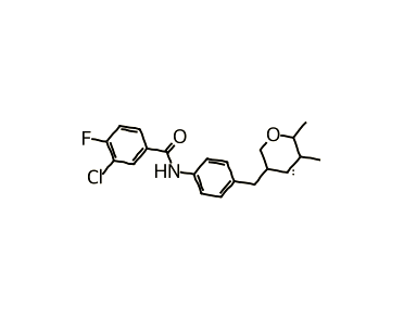 CC1[C]C(Cc2ccc(NC(=O)c3ccc(F)c(Cl)c3)cc2)COC1C